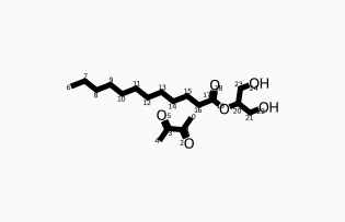 CC(=O)C(C)=O.CCCCCCCCCCCC(=O)OC(CO)CO